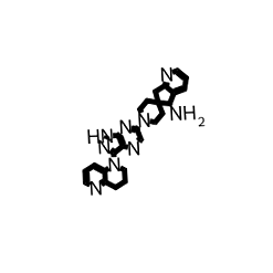 N[C@@H]1c2cccnc2CC12CCN(c1cnc3c(N4CCCc5ncccc54)n[nH]c3n1)CC2